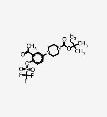 CC(=O)c1cc(N2CCN(C(=O)OC(C)(C)C)CC2)ccc1OS(=O)(=O)C(F)(F)F